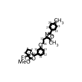 CCC1(C(=O)OC)CCCN1Cc1cccc(OCCc2nc(-c3ccc(C)cc3)oc2C)c1